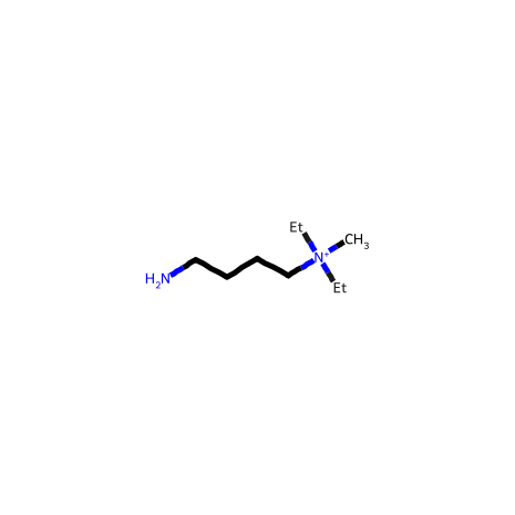 CC[N+](C)(CC)CCCCN